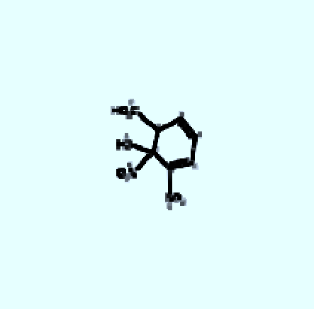 O=C(O)C1C=CC=C([N+](=O)[O-])C1(O)[N+](=O)[O-]